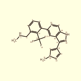 CNCc1cccc(-c2cc3c(-c4cnn(C)c4)n[nH]c3cn2)c1C(F)(F)F